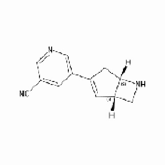 N#Cc1cncc(C2=C[C@H]3CN[C@H]3C2)c1